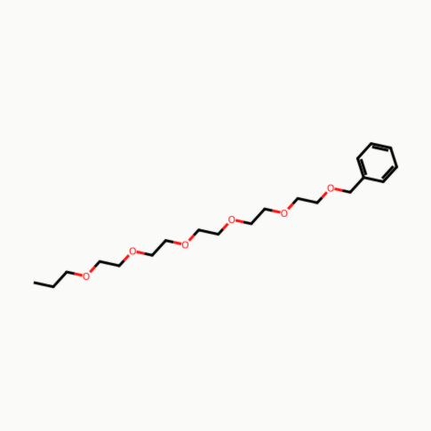 CCCOCCOCCOCCOCCOCCOCc1ccccc1